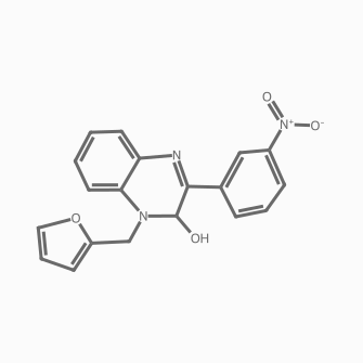 O=[N+]([O-])c1cccc(C2=Nc3ccccc3N(Cc3ccco3)C2O)c1